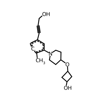 Cc1ccc(C#CCO)cc1N1CCC(OC2CC(O)C2)CC1